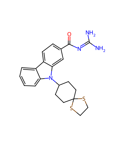 NC(N)=NC(=O)c1ccc2c3ccccc3n(C3CCC4(CC3)SCCS4)c2c1